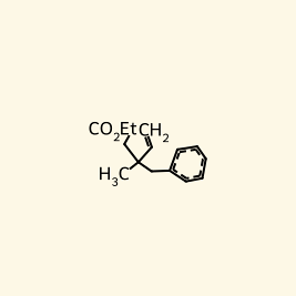 C=CC(C)(CC(=O)OCC)Cc1ccccc1